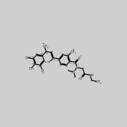 CN(C)N(CC(=O)NCC(F)(F)F)C(=O)c1ccc(C(F)=CC(c2cc(Cl)c(Cl)c(Cl)c2)C(F)(F)F)cc1C(F)(F)F